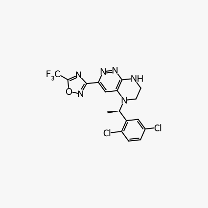 C[C@H](c1cc(Cl)ccc1Cl)N1CCNc2nnc(-c3noc(C(F)(F)F)n3)cc21